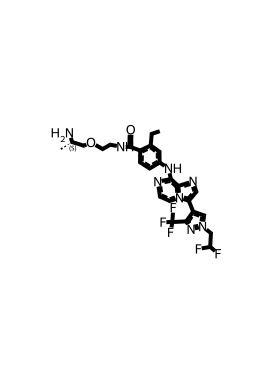 CCc1cc(Nc2nccn3c(-c4cn(CC(F)F)nc4C(F)(F)F)cnc23)ccc1C(=O)NCCOC[C@H](C)N